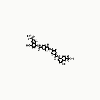 Cc1cc(C(=O)Nc2ccc(O)c3cc(S(=O)(=O)O)ccc23)ccc1NC(=O)Nc1ccc(C(=O)Nc2ccc(O)c3cc(S(=O)(=O)O)ccc23)cc1C